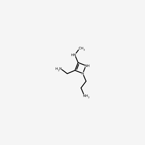 CNc1[nH]n(CCN)c1CN